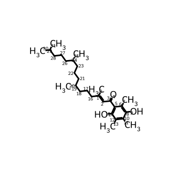 C/C(=C\C(=O)c1c(C)c(O)c(C)c(C)c1O)CCC[C@H](C)CCC[C@H](C)CCCC(C)C